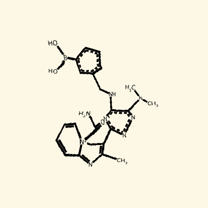 CC1=C(c2nnc(N(C)C)c(NCc3cccc(B(O)O)c3)n2)[N+]2(C(N)=O)C=CC=CC2=N1